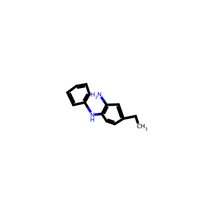 CCc1ccc(Nc2ccccc2)c(N)c1